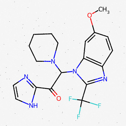 COc1ccc2nc(C(F)(F)F)n(C(C(=O)c3ncc[nH]3)N3CCCCC3)c2c1